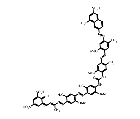 C=c1c(S(=O)(=O)O)cc(S(=O)(=O)O)c/c1=C/C=C(\C)N=Nc1cc(OC)c(N=Nc2cc(OC)c(NC(=O)Nc3cc(C)c(N=Nc4cc(C)c(/N=N/c5ccc6cc(S(=O)(=O)O)cc(C)c6c5)cc4OC)cc3OC)cc2C)cc1C